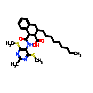 CCCCCCCCCC1Cc2ccccc2C(C(=O)Nc2c(SC)nc(C)nc2SC)C1C(=O)O